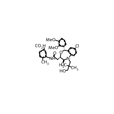 COc1cccc([C@H]2O[C@H](CC(=O)Nc3cc(C(=O)O)ccc3C)C(=O)N(CC(C)(C)CO)c3ccc(Cl)cc32)c1OC